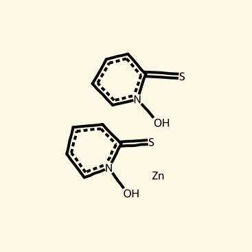 On1ccccc1=S.On1ccccc1=S.[Zn]